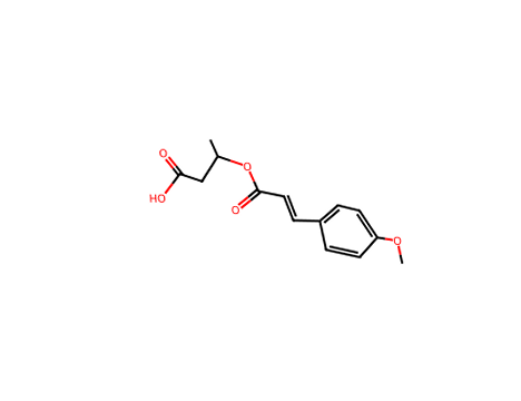 COc1ccc(C=CC(=O)OC(C)CC(=O)O)cc1